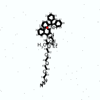 CCOCc1nc2c(NC(c3ccccc3)(c3ccccc3)c3ccccc3)nc3ccccc3c2n1CC(C)(C)OCCOCCOCCOCCN=[N+]=[N-]